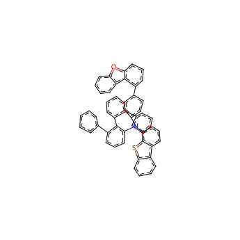 c1ccc(-c2ccccc2-c2c(-c3ccccc3)cccc2N(c2ccc(-c3cccc4oc5ccccc5c34)cc2)c2cccc3c2sc2ccccc23)cc1